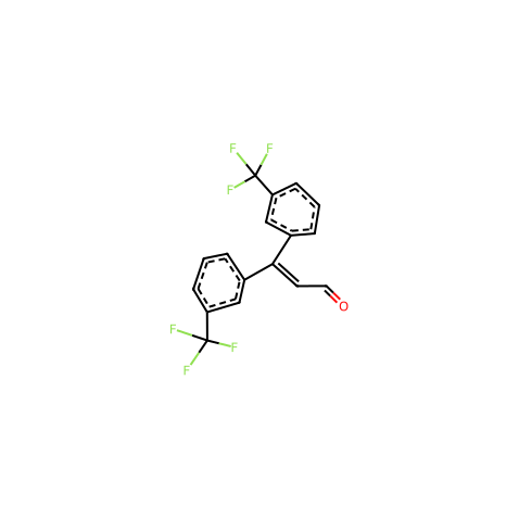 O=CC=C(c1cccc(C(F)(F)F)c1)c1cccc(C(F)(F)F)c1